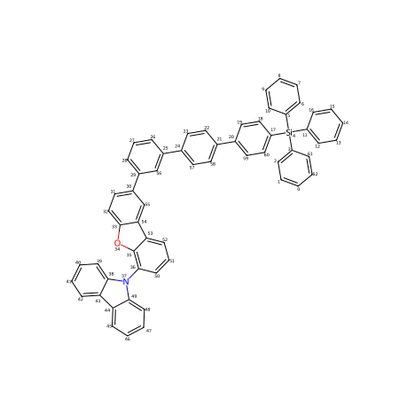 c1ccc([Si](c2ccccc2)(c2ccccc2)c2ccc(-c3ccc(-c4cccc(-c5ccc6oc7c(-n8c9ccccc9c9ccccc98)cccc7c6c5)c4)cc3)cc2)cc1